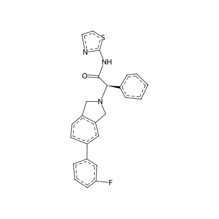 O=C(Nc1nccs1)[C@@H](c1ccccc1)N1Cc2ccc(-c3cccc(F)c3)cc2C1